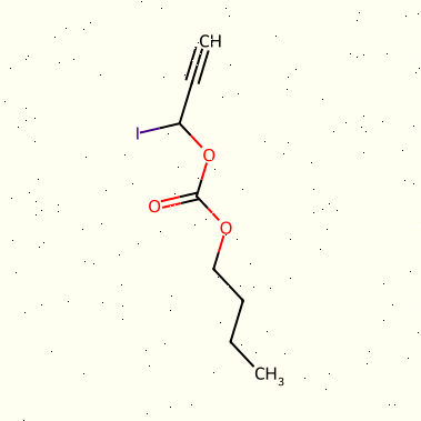 C#CC(I)OC(=O)OCCCC